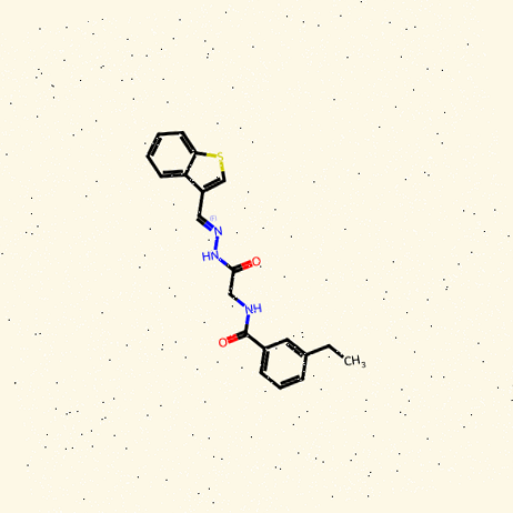 CCc1cccc(C(=O)NCC(=O)N/N=C/c2csc3ccccc23)c1